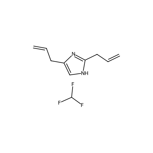 C=CCc1c[nH]c(CC=C)n1.FC(F)F